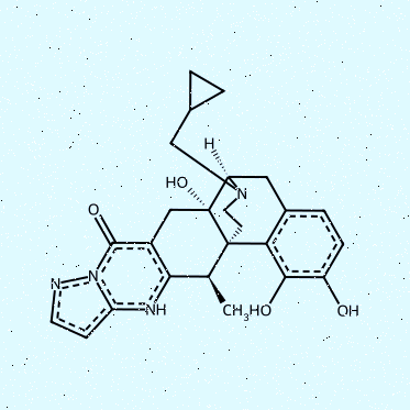 C[C@H]1c2[nH]c3ccnn3c(=O)c2C[C@@]2(O)[C@H]3Cc4ccc(O)c(O)c4[C@@]12CCN3CC1CC1